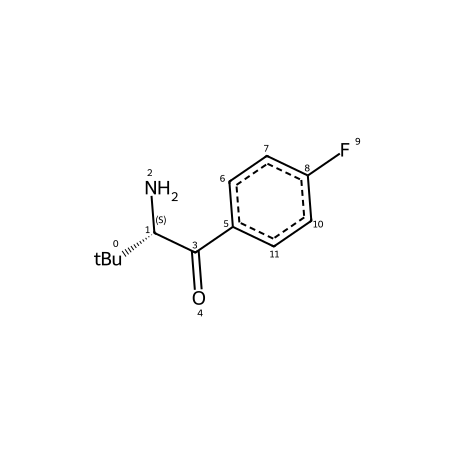 CC(C)(C)[C@H](N)C(=O)c1ccc(F)cc1